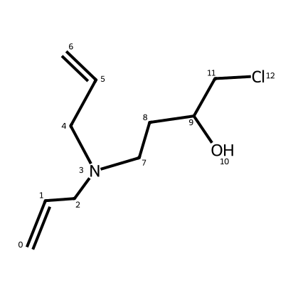 C=CCN(CC=C)CCC(O)CCl